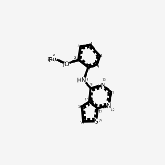 CCC(C)Oc1ccccc1Nc1ncnc2sccc12